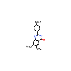 COc1cc2nc(C3CCC(OC)CC3)[nH]c(=O)c2cc1OC